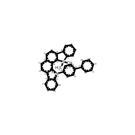 CS1(C)c2ccccc2-c2ccc3ccc4c5ccccc5n(-c5ccc(-c6ccccc6)cc5)c4c3c21